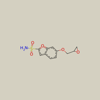 NS(=O)(=O)c1cc2ccc(OCC3CO3)cc2o1